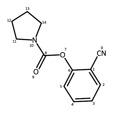 N#Cc1ccccc1OC(=O)N1CCCC1